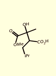 COC(=O)C(C)(O)C(CC(C)C)C(=O)O